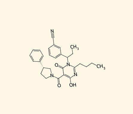 CCCCc1nc(O)c(C(=O)N2CC[C@H](c3ccccc3)C2)c(=O)n1C(CC)c1cccc(C#N)c1